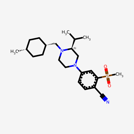 CC(C)[C@H]1CN(c2ccc(C#N)c(S(C)(=O)=O)c2)CCN1C[C@H]1CC[C@@H](C)CC1